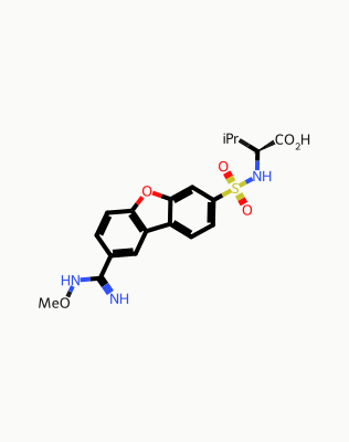 CONC(=N)c1ccc2oc3cc(S(=O)(=O)N[C@H](C(=O)O)C(C)C)ccc3c2c1